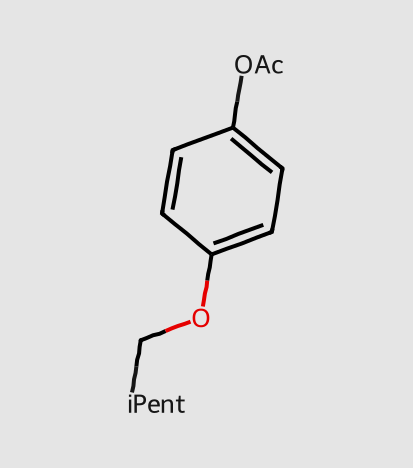 CCCC(C)COc1ccc(OC(C)=O)cc1